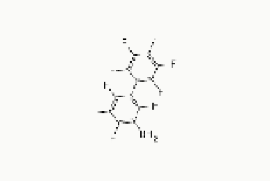 Bc1c(F)c(C)c(F)c(-c2c(F)c(F)c(C)c(F)c2F)c1F